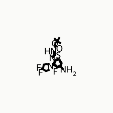 CC(C)(C)OC(=O)Nc1nc2c(N3CCC(F)(F)CC3)c(F)c(N)cc2s1